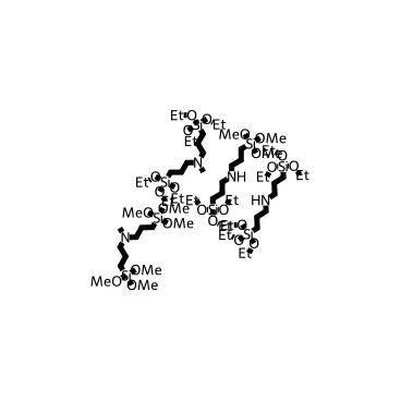 CCO[Si](CCCN(C)CCC[Si](OCC)(OCC)OCC)(OCC)OCC.CCO[Si](CCCNCCC[Si](OC)(OC)OC)(OCC)OCC.CCO[Si](CCCNCCC[Si](OCC)(OCC)OCC)(OCC)OCC.CO[Si](CCCN(C)CCC[Si](OC)(OC)OC)(OC)OC